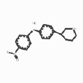 Cl.O=[N+]([O-])c1ccc(Oc2ccc(C3CCCNC3)cc2)cc1